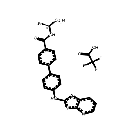 CC(C)[C@H](NC(=O)c1ccc(-c2ccc(Nc3nc4ncccc4s3)cc2)cc1)C(=O)O.O=C(O)C(F)(F)F